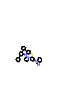 c1ccc(-c2ccc3c(c2)N(c2ccccn2)c2cc(Sc4cccc(-n5cnc6ccccc65)c4)ccc2-c2ccccc2-3)cc1